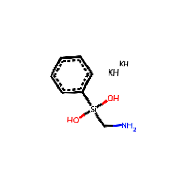 NC[Si](O)(O)c1ccccc1.[KH].[KH]